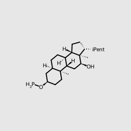 CCC[C@@H](C)[C@H]1CC[C@H]2[C@@H]3CC[C@@H]4C[C@H](OP)CC[C@]4(C)[C@H]3C[C@H](O)[C@]12C